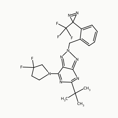 CC(C)(C)c1nc(N2CCC(F)(F)C2)c2nn(Cc3ccccc3C3(C(F)(F)F)N=N3)nc2n1